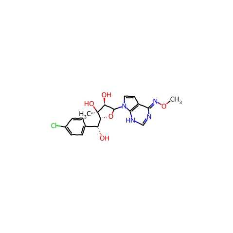 CO/N=c1\nc[nH]c2c1ccn2C1O[C@H]([C@H](O)c2ccc(Cl)cc2)[C@@](C)(O)[C@H]1O